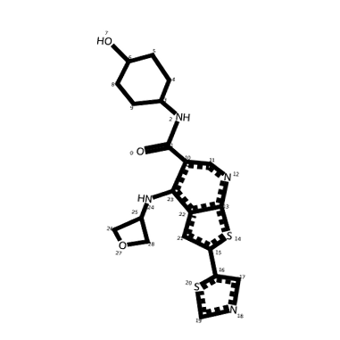 O=C(NC1CCC(O)CC1)c1cnc2sc(-c3cncs3)cc2c1NC1COC1